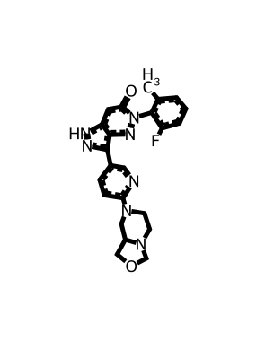 Cc1cccc(F)c1-n1nc2c(-c3ccc(N4CCN5COCC5C4)nc3)n[nH]c2cc1=O